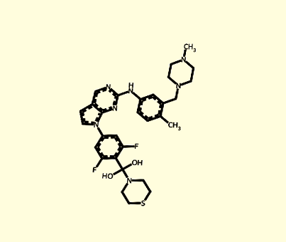 Cc1ccc(Nc2ncc3ccn(-c4cc(F)c(C(O)(O)N5CCSCC5)c(F)c4)c3n2)cc1CN1CCN(C)CC1